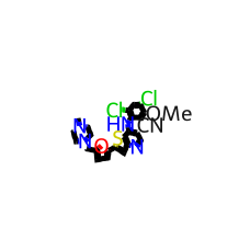 COc1cc(Nc2c(C#N)cnc3cc(-c4ccc(CN5CCN(C)CC5)o4)sc23)c(Cl)cc1Cl